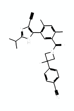 C#Cc1nc(C(C)C)[nH]c1-c1cc(C(=O)N2CC(F)(c3ccc(C#N)cc3)C2)c(C)cc1C